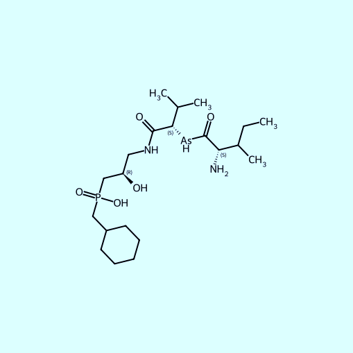 CCC(C)[C@H](N)C(=O)[AsH][C@H](C(=O)NC[C@@H](O)CP(=O)(O)CC1CCCCC1)C(C)C